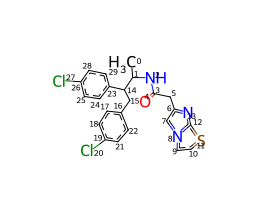 CC(NC(=O)Cc1cn2ccsc2n1)C(Cc1ccc(Cl)cc1)c1ccc(Cl)cc1